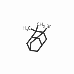 CC1(C)C2CC3CC(C2)CC1(Br)C3